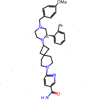 COc1ccc(CN2CCN(C3CC4(CCN(c5ccc(C(N)=O)cn5)CC4)C3)[C@H](c3ccccc3C(C)C)C2)cc1